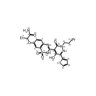 CCC(Oc1ccc2c(c1)S(=O)(=O)NC(c1c(O)c(-c3cccs3)nn(CCC(C)C)c1=O)=N2)C(N)=O